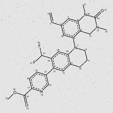 C=Cc1cc2c(c(N3CCCc4cc(-c5ccc(C(=O)OC)nc5)c(C(F)F)cc43)c1)CN(C)C(=O)N2C